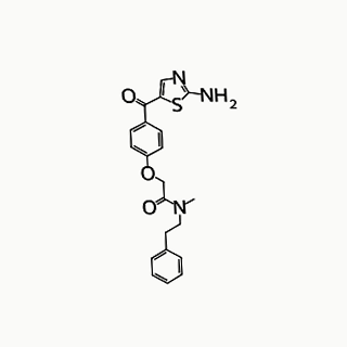 CN(CCc1ccccc1)C(=O)COc1ccc(C(=O)c2cnc(N)s2)cc1